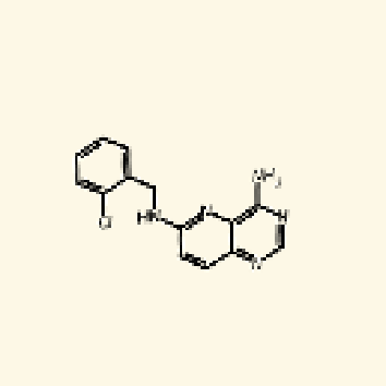 Nc1ncnc2ccc(NCc3ccccc3Cl)nc12